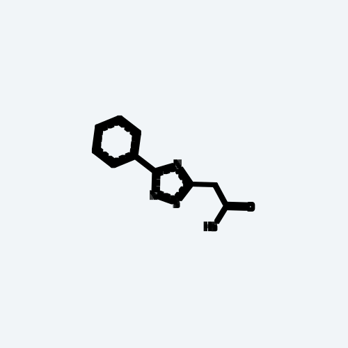 O=C(S)Cc1nc(-c2ccccc2)ns1